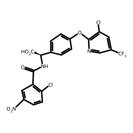 O=C(N[C@@H](C(=O)O)c1ccc(Oc2ncc(C(F)(F)F)cc2Cl)cc1)c1cc([N+](=O)[O-])ccc1Cl